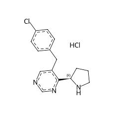 Cl.Clc1ccc(Cc2cncnc2[C@H]2CCCN2)cc1